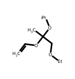 [CH2]C(C)OC(C)(COCC)OC=C